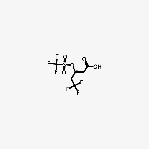 O=C(O)/C=C(/CC(F)(F)F)OS(=O)(=O)C(F)(F)F